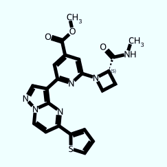 CNC(=O)[C@@H]1CCN1c1cc(C(=O)OC)cc(-c2cnn3ccc(-c4cccs4)nc23)n1